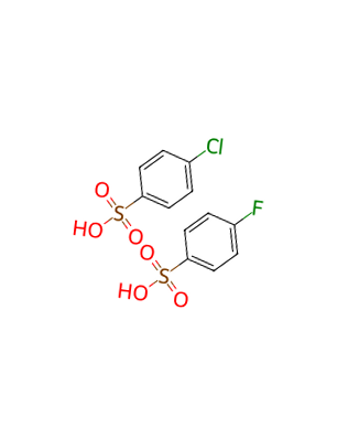 O=S(=O)(O)c1ccc(Cl)cc1.O=S(=O)(O)c1ccc(F)cc1